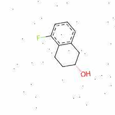 O[C@@H]1CCc2c(F)cccc2C1